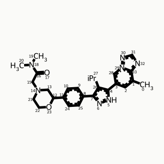 Cc1cc(-c2[nH]nc(-c3ccc(C4CN(CC(=O)N(C)C)CCO4)cc3)c2C(C)C)cn2ncnc12